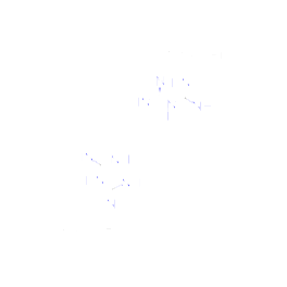 CCCCC(CC)CNC(=N)NC(=N)NCCCCNC(=N)NC(=N)NCC(CC)CCCC